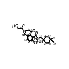 C[C@H](CO)N1CC(=O)c2c(ccc(Cl)c2C(=O)NCC2(O)CCC(C)(C)CC2)C1